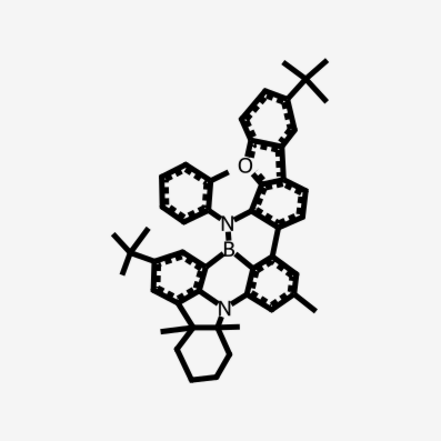 Cc1cc2c3c(c1)N1c4c(cc(C(C)(C)C)cc4C4(C)CCCCC14C)B3N(c1ccccc1C)c1c-2ccc2c1oc1ccc(C(C)(C)C)cc12